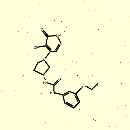 CCOc1cccc(NC(=O)N[C@@H]2CCN(c3cn[nH]c(=O)c3Cl)C2)c1